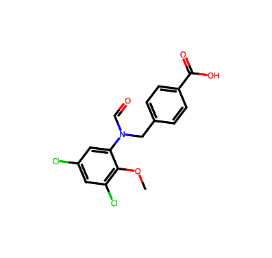 COc1c(Cl)cc(Cl)cc1N(C=O)Cc1ccc(C(=O)O)cc1